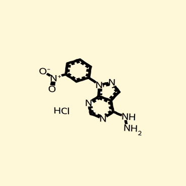 Cl.NNc1ncnc2c1cnn2-c1cccc([N+](=O)[O-])c1